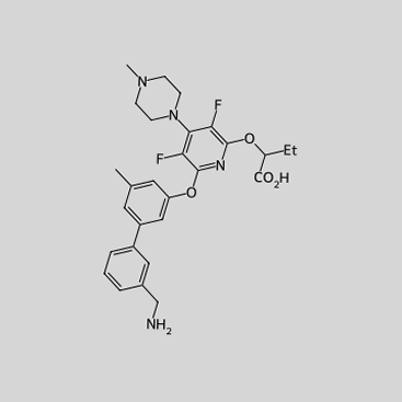 CCC(Oc1nc(Oc2cc(C)cc(-c3cccc(CN)c3)c2)c(F)c(N2CCN(C)CC2)c1F)C(=O)O